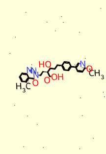 COc1ccc(-c2ccc(CC[C@@H](O)[C@H](CCn3nnc4cccc(C)c4c3=O)C(=O)O)cc2)cn1